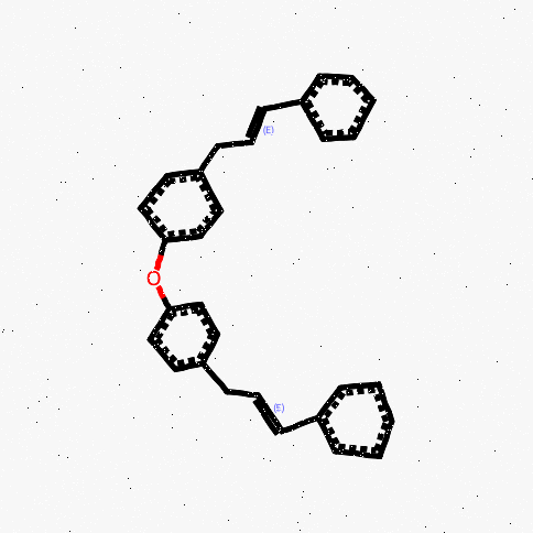 C(=C\c1ccccc1)/Cc1ccc(Oc2ccc(C/C=C/c3ccccc3)cc2)cc1